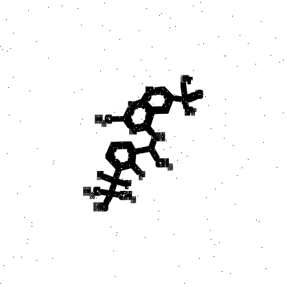 Cc1nc(NC(C)c2cccc(C(F)(F)C(C)(C)O)c2F)c2cc(P(=O)(C(C)C)C(C)C)cnc2n1